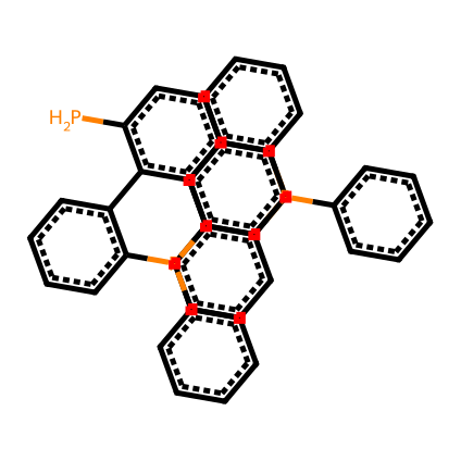 Pc1cccc(-c2ccccc2P(c2ccccc2)c2ccccc2)c1-c1ccccc1P(c1ccccc1)c1ccccc1